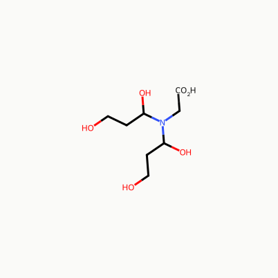 O=C(O)CN(C(O)CCO)C(O)CCO